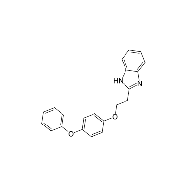 c1ccc(Oc2ccc(OCCc3nc4ccccc4[nH]3)cc2)cc1